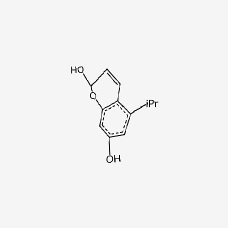 CC(C)c1cc(O)cc2c1C=CC(O)O2